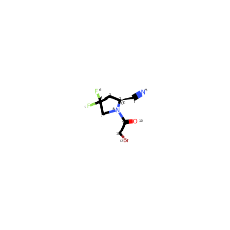 N#C[C@@H]1CC(F)(F)CN1C(=O)CBr